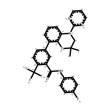 CC1(C)CN(c2ncccn2)c2cccc(-c3ccc(C(F)(F)F)c(C(=O)Nc4ccc(F)cc4)c3)c2O1